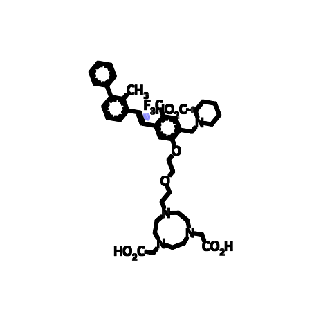 Cc1c(/C=C/c2cc(OCCOCCN3CCN(CC(=O)O)CCN(CC(=O)O)CC3)c(CN3CCCC[C@H]3C(=O)O)cc2C(F)(F)F)cccc1-c1ccccc1